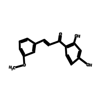 COc1cccc(C=CC(=O)c2ccc(O)cc2O)c1